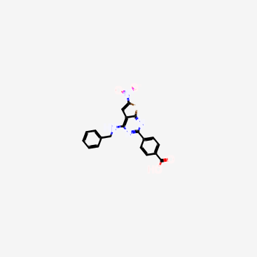 O=C(O)c1ccc(-c2nc(NCc3ccccc3)c3cc([N+](=O)[O-])sc3n2)cc1